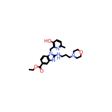 CCOC(=O)c1ccc2c(c1)nc(NCCCN1CCOCC1)n2Cc1nc(C)ccc1O